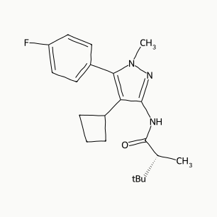 C[C@@H](C(=O)Nc1nn(C)c(-c2ccc(F)cc2)c1C1CCC1)C(C)(C)C